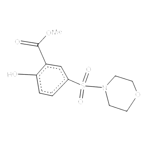 COC(=O)c1cc(S(=O)(=O)N2CCOCC2)ccc1O